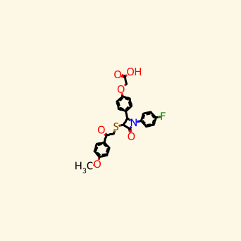 COc1ccc(C(=O)CSC2C(=O)N(c3ccc(F)cc3)C2c2ccc(OCC(=O)O)cc2)cc1